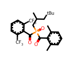 Cc1cccc(C)c1C(=O)P(=O)(CC(C)CC(C)(C)C)C(=O)c1c(C(F)(F)F)cccc1C(F)(F)F